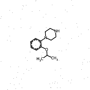 CC(C)Oc1ccccc1N1CCNCC1